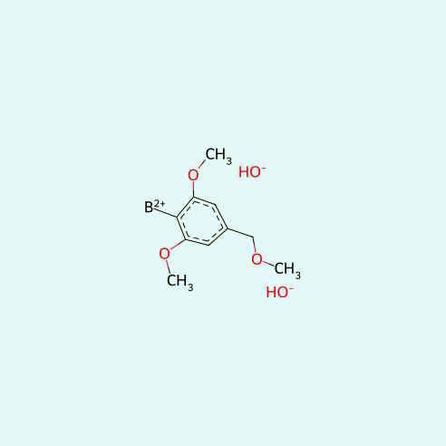 [B+2]c1c(OC)cc(COC)cc1OC.[OH-].[OH-]